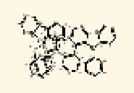 c1ccc(-n2c3ccccc3c3ccc(-c4ccc5oc6ccccc6c5c4)c(-c4cccc5c6ccccc6n(-c6cccc7c6oc6ccccc67)c45)c32)cc1